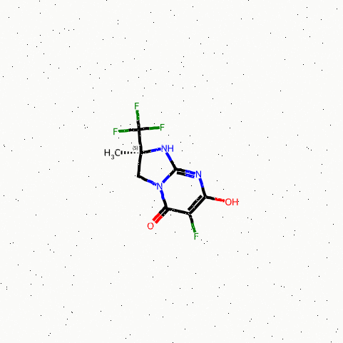 C[C@@]1(C(F)(F)F)Cn2c(nc(O)c(F)c2=O)N1